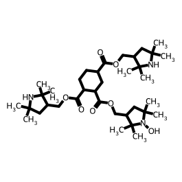 CC1(C)CC(COC(=O)C2CCC(C(=O)OCC3CC(C)(C)NC3(C)C)C(C(=O)OCC3CC(C)(C)N(O)C3(C)C)C2)C(C)(C)N1